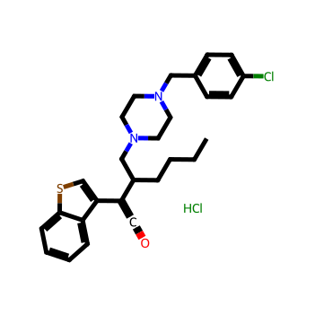 CCCCC(CN1CCN(Cc2ccc(Cl)cc2)CC1)C(=C=O)c1csc2ccccc12.Cl